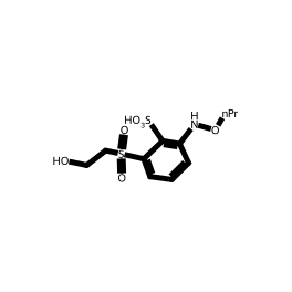 CCCONc1cccc(S(=O)(=O)CCO)c1S(=O)(=O)O